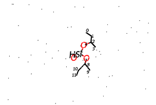 CCC(C)O[SiH]([O])OC(C)CC